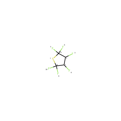 FC1C(F)C(F)(F)SC1(F)F